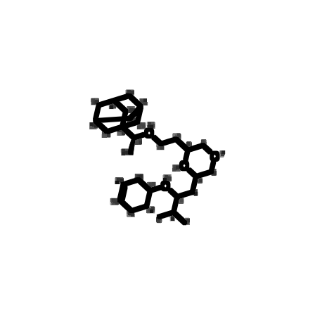 CC(C)C(CC1COCC(CCO[C@@H](C)C23CC4CC(CC(C4)C2)C3)O1)OC1CC=CCC1